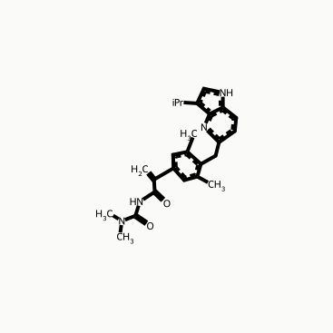 C=C(C(=O)NC(=O)N(C)C)c1cc(C)c(Cc2ccc3[nH]cc(C(C)C)c3n2)c(C)c1